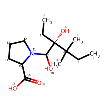 CCC(C)(C)[C@](O)(CC)C(O)N1CCCC1C(=O)O